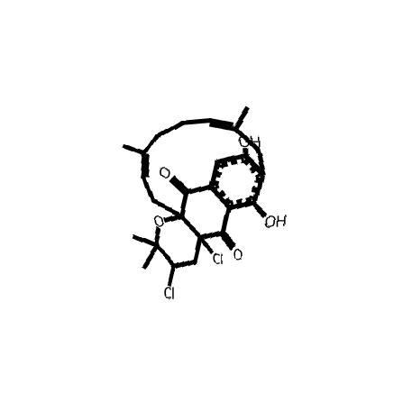 C/C1=C/CC23OC(C)(C)C(Cl)CC2(Cl)C(=O)c2c(cc(O)c(c2O)C/C(C)=C\CC1)C3=O